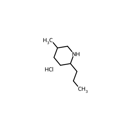 CCCC1CCC(C)CN1.Cl